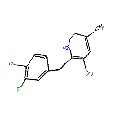 CC1=CC(C)=C(Cc2ccc(Cl)c(F)c2)NC1